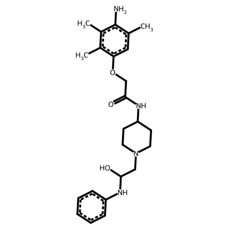 Cc1cc(OCC(=O)NC2CCN(CC(O)Nc3ccccc3)CC2)c(C)c(C)c1N